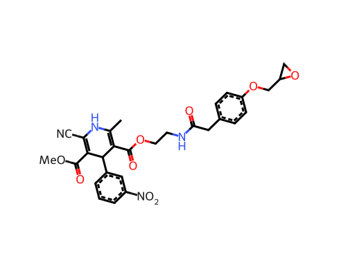 COC(=O)C1=C(C#N)NC(C)=C(C(=O)OCCNC(=O)Cc2ccc(OCC3CO3)cc2)C1c1cccc([N+](=O)[O-])c1